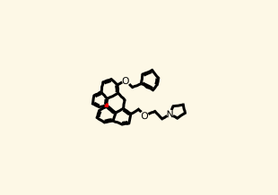 c1ccc(COc2ccc3ccccc3c2Cc2c(COCCN3CCCC3)ccc3ccccc23)cc1